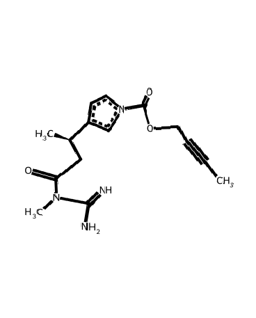 CC#CCOC(=O)n1ccc([C@H](C)CC(=O)N(C)C(=N)N)c1